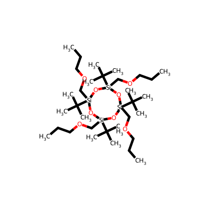 CCCOC[Si]1(C(C)(C)C)O[Si](COCCC)(C(C)(C)C)O[Si](COCCC)(C(C)(C)C)O[Si](COCCC)(C(C)(C)C)O1